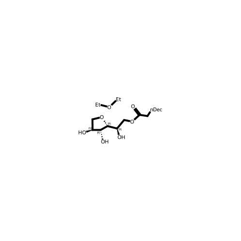 CCCCCCCCCCCC(=O)OC[C@@H](O)[C@H]1OC[C@H](O)[C@H]1O.CCOCC